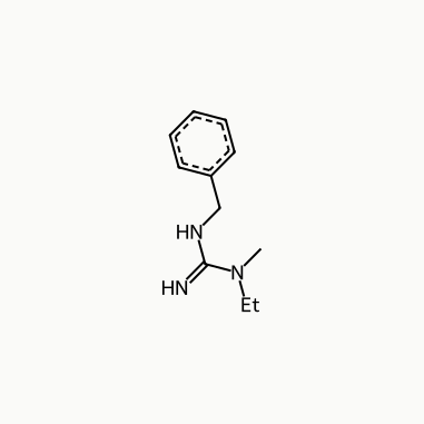 CCN(C)C(=N)NCc1ccccc1